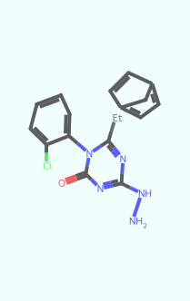 C1=CC2=CC=C1C2.CCc1nc(NN)nc(=O)n1-c1ccccc1Cl